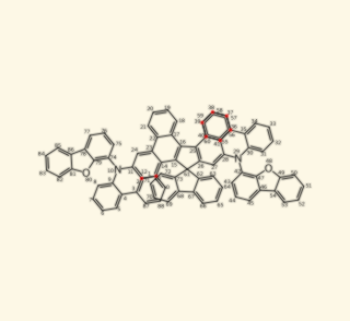 c1ccc(-c2ccccc2N(c2ccc3c4c(c5ccccc5c3c2)-c2c(cc(N(c3ccccc3-c3ccccc3)c3cccc5c3oc3ccccc35)c3ccccc23)C42c3ccccc3-c3ccccc32)c2cccc3c2oc2ccccc23)cc1